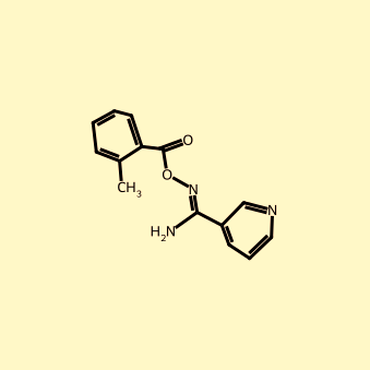 Cc1ccccc1C(=O)O/N=C(\N)c1cccnc1